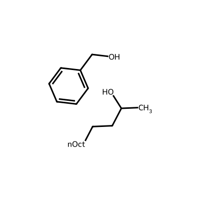 CCCCCCCCCCC(C)O.OCc1ccccc1